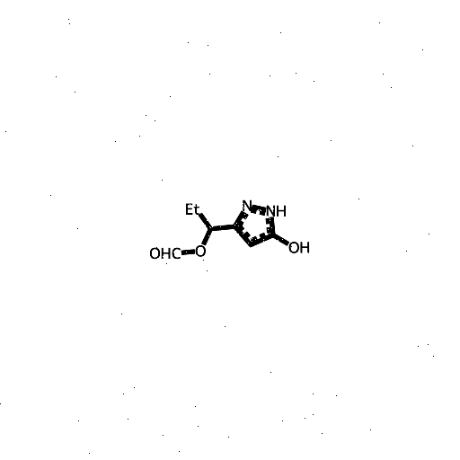 CCC(OC=O)c1cc(O)[nH]n1